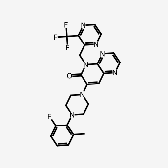 Cc1cccc(F)c1N1CCN(c2cc3nccnc3n(Cc3nccnc3C(F)(F)F)c2=O)CC1